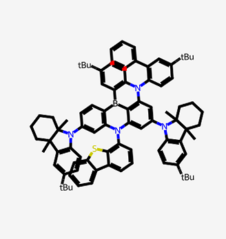 CC(C)(C)c1ccc2c(c1)B1c3ccc(N4c5ccc(C(C)(C)C)cc5C5(C)CCCCC45C)cc3N(c3cccc4c3sc3ccccc34)c3cc(N4c5ccc(C(C)(C)C)cc5C5(C)CCCCC45C)cc(c31)N2c1ccc(C(C)(C)C)cc1-c1ccccc1